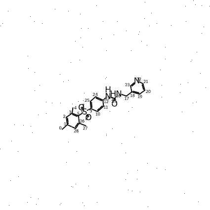 Cc1cc(C)c(S(=O)(=O)c2ccc(NC(=O)NCc3cccnc3)cc2)c(C)c1